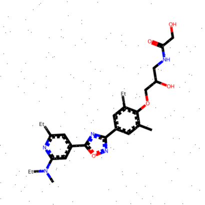 CCc1cc(-c2nc(-c3cc(C)c(OCC(O)CNC(=O)CO)c(CC)c3)no2)cc(N(C)CC)n1